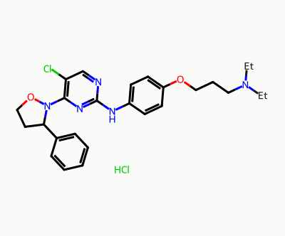 CCN(CC)CCCOc1ccc(Nc2ncc(Cl)c(N3OCCC3c3ccccc3)n2)cc1.Cl